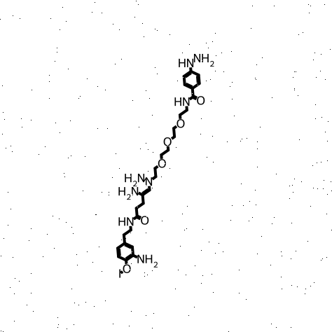 NNc1ccc(C(=O)NCCOCCOCCOCCN(N)/C=C(\N)CCC(=O)NCCc2ccc(OI)c(N)c2)cc1